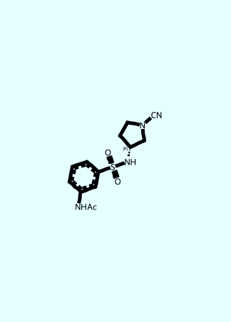 CC(=O)Nc1cccc(S(=O)(=O)N[C@@H]2CCN(C#N)C2)c1